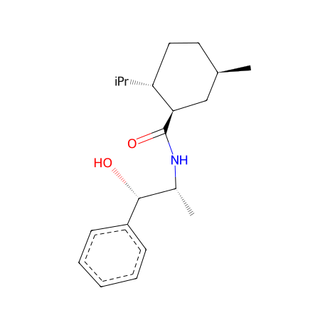 CC(C)[C@@H]1CC[C@@H](C)C[C@H]1C(=O)N[C@H](C)[C@@H](O)c1ccccc1